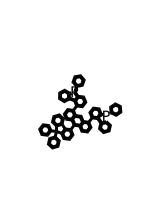 c1ccc(-p2c3ccccc3c3c(-c4cccc5c(-c6cccc7c6-c6ccccc6C7(c6ccccc6)c6ccccc6)c6cccc(-c7cccc8c7c7ccccc7p8-c7ccccc7)c6cc45)cccc32)cc1